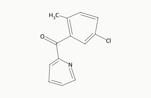 Cc1ccc(Cl)cc1C(=O)c1ccccn1